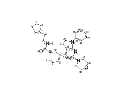 O=C(NCCN1CCCC1)c1cccc(-c2nc(N3CCOCC3)nc3c2CCN3c2cccnc2)c1